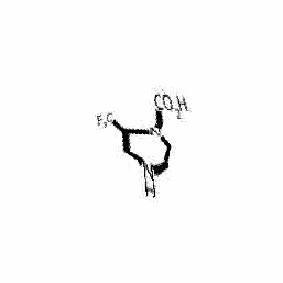 O=C(O)N1CCNCC1C(F)(F)F